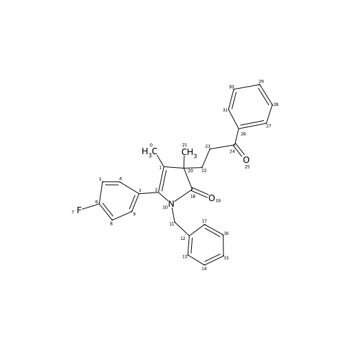 CC1=C(c2ccc(F)cc2)N(Cc2ccccc2)C(=O)C1(C)CCC(=O)c1ccccc1